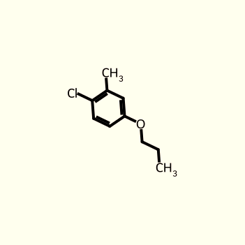 CCCOc1ccc(Cl)c(C)c1